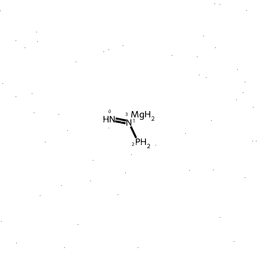 N=NP.[MgH2]